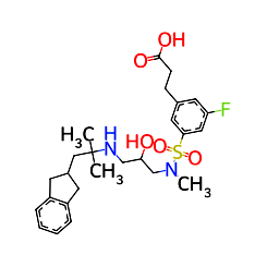 CN(CC(O)CNC(C)(C)CC1Cc2ccccc2C1)S(=O)(=O)c1cc(F)cc(CCC(=O)O)c1